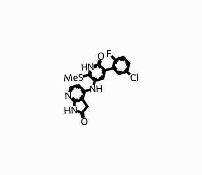 CSc1[nH]c(=O)c(-c2cc(Cl)ccc2F)cc1Nc1ccnc2c1CC(=O)N2